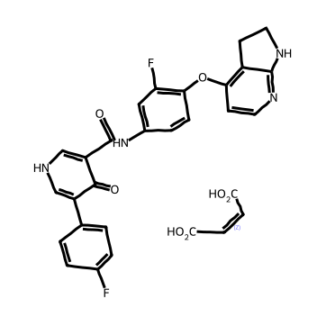 O=C(Nc1ccc(Oc2ccnc3c2CCN3)c(F)c1)c1c[nH]cc(-c2ccc(F)cc2)c1=O.O=C(O)/C=C\C(=O)O